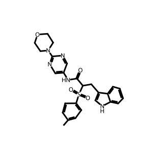 Cc1ccc(S(=O)(=O)C(Cc2c[nH]c3ccccc23)C(=O)Nc2cnc(N3CCOCC3)nc2)cc1